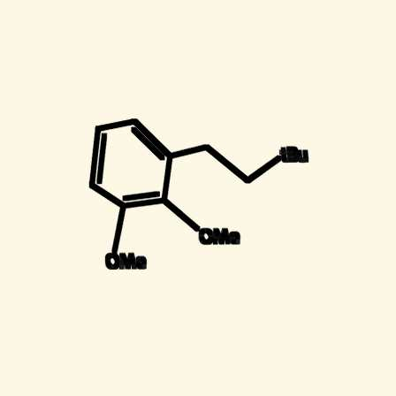 COc1cccc(CCC(C)(C)C)c1OC